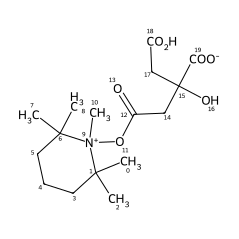 CC1(C)CCCC(C)(C)[N+]1(C)OC(=O)CC(O)(CC(=O)O)C(=O)[O-]